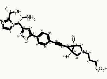 C[C@H](O)c1nccn1[C@H](CN)c1cc(-c2ccc(C#CC3[C@H]4CN(CCCC(=O)O)C[C@@H]34)cc2)on1